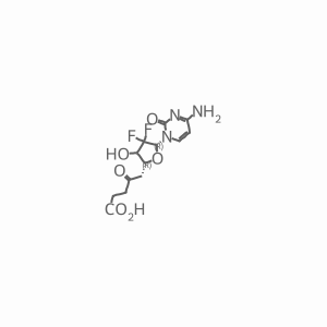 Nc1ccn([C@@H]2O[C@H](CC(=O)CCC(=O)O)C(O)C2(F)F)c(=O)n1